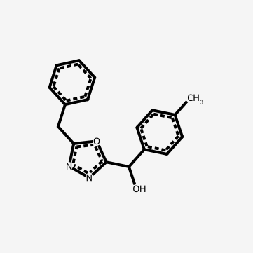 Cc1ccc(C(O)c2nnc(Cc3ccccc3)o2)cc1